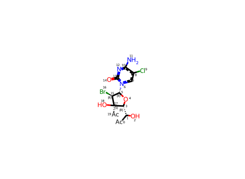 CC(=O)C(O)[C@H]1O[C@@H](n2cc(Cl)c(N)nc2=O)[C@H](Br)[C@@]1(O)C(C)=O